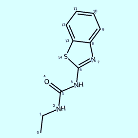 CCNC(=O)Nc1nc2c[c]ccc2s1